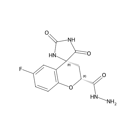 NNC(=O)[C@H]1C[C@@]2(NC(=O)NC2=O)c2cc(F)ccc2O1